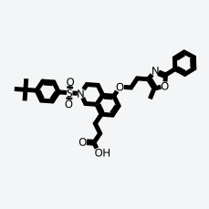 Cc1oc(-c2ccccc2)nc1CCOc1ccc(CCC(=O)O)c2c1CCN(S(=O)(=O)c1ccc(C(C)(C)C)cc1)C2